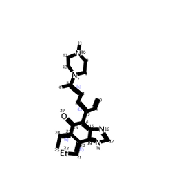 C=C/C(=C\C=C(/C)N1CCN(C)CC1)C1=C2N=CN=C2C(=C/CC)/C(=C\C)C1=O